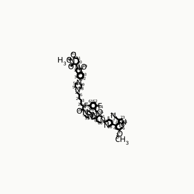 CCOc1cc(-c2ccc(N3CCC(CN4CCN(C(=O)CCCCCCN5CCN(c6ccc7c(c6)CN(C6CCC(=O)N(C)C6=O)C7=O)CC5)CC4)(NC(=O)c4cc(F)ccc4F)CC3)nc2)c2c(C#N)cnn2c1